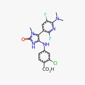 CN(C)c1nc(F)c(-c2c(Nc3ccc(C(=O)O)c(Cl)c3)[nH]c(=O)n2C)cc1F